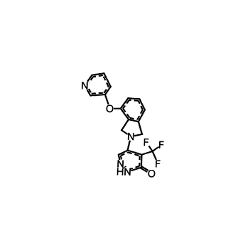 O=c1[nH]ncc(N2Cc3cccc(Oc4cccnc4)c3C2)c1C(F)(F)F